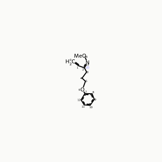 C=C/C(CCCOc1ccccc1)=N\OC